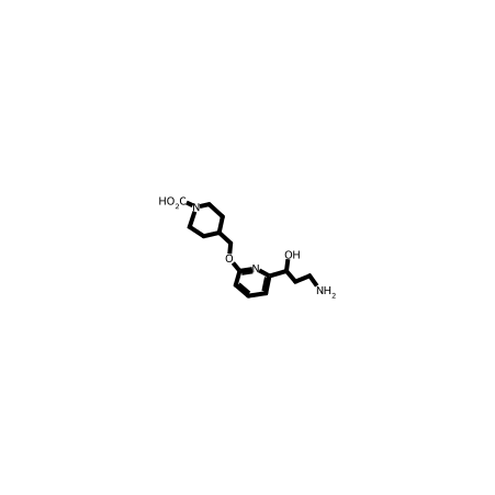 NCCC(O)c1cccc(OCC2CCN(C(=O)O)CC2)n1